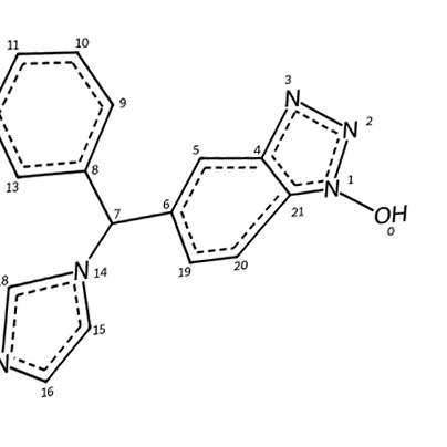 On1nnc2cc(C(c3ccccc3)n3ccnc3)ccc21